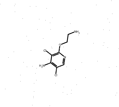 NCCOc1ncc(Cl)c(N)c1Cl